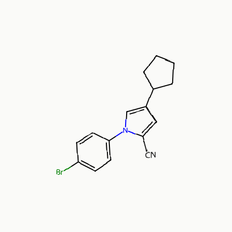 N#Cc1cc(C2CCCC2)cn1-c1ccc(Br)cc1